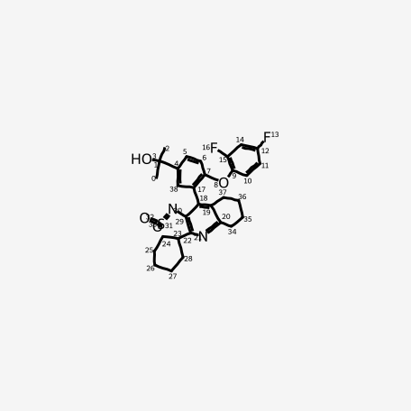 CC(C)(O)c1ccc(Oc2ccc(F)cc2F)c(-c2c3c(nc(C4CCCCC4)c2N=S(=O)=O)CCCC3)c1